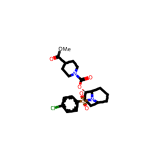 COC(=O)C1CCN(C(=O)O[C@H]2CCC3CCCC2N3S(=O)(=O)c2ccc(Cl)cc2)CC1